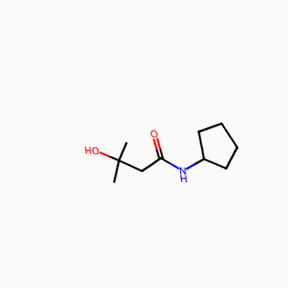 CC(C)(O)CC(=O)NC1CCCC1